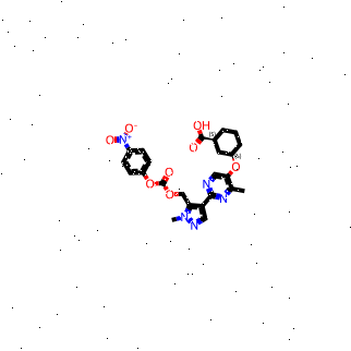 Cc1nc(-c2cnn(C)c2COC(=O)Oc2ccc([N+](=O)[O-])cc2)ncc1O[C@H]1CCC[C@H](C(=O)O)C1